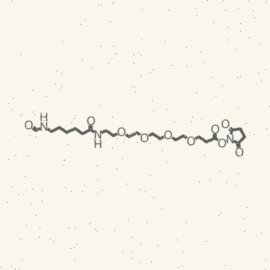 O=CNCCCCCC(=O)NCCOCCOCCOCCOCCC(=O)ON1C(=O)CCC1=O